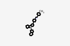 Cc1ccc(/C=C/c2ccc(-c3ccc4c(c3)c3ccccc3n4-c3ccc4ccccc4c3)cc2)cc1